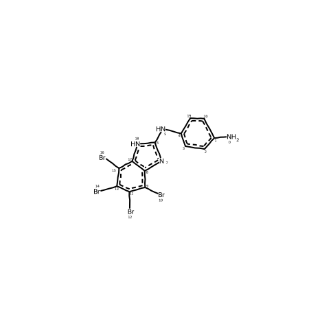 Nc1ccc(Nc2nc3c(Br)c(Br)c(Br)c(Br)c3[nH]2)cc1